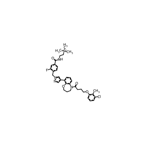 Cc1c(Cl)cccc1OCCCC(=O)N1CCCOc2c(-c3cnn(Cc4ccc(C(=O)NCC[N+](C)(C)C)cc4F)c3)cccc21